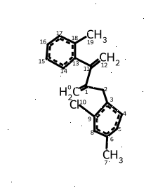 C=C(Cc1ccc(C)cc1Cl)C(=C)c1ccccc1C